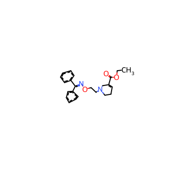 CCOC(=O)C1=CCCN(CCON=C(c2ccccc2)c2ccccc2)C1